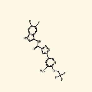 Cc1cc(-n2cc(C(=O)Nc3c[nH]c4cc(F)c(F)cc34)nn2)cnc1OCC(F)(F)F